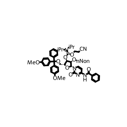 CCCCCCCCCO[C@@H]1[C@H](OP(OCCC#N)N(C(C)C)C(C)C)[C@@H](COC(c2ccccc2)(c2ccc(OC)cc2)c2ccc(OC)cc2)O[C@H]1n1ccc(NC(=O)c2ccccc2)nc1=O